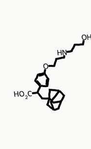 O=C(O)C(CC12CC3CC(CC(C3)C1)C2)c1ccc(OCCCNCCCO)cc1